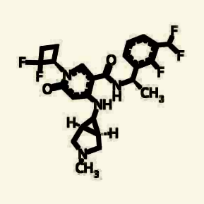 C[C@@H](NC(=O)c1cn([C@@H]2CCC2(F)F)c(=O)cc1NC1[C@H]2CN(C)C[C@@H]12)c1cccc(C(F)F)c1F